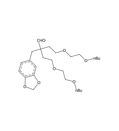 CCCCOCCOCCC([C]=O)(CCOCCOCCCC)Cc1ccc2c(c1)OCO2